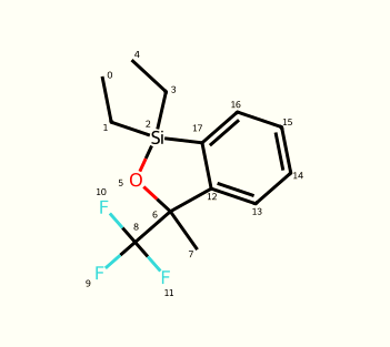 CC[Si]1(CC)OC(C)(C(F)(F)F)c2ccccc21